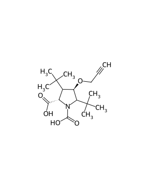 C#CCO[C@@H]1C(C(C)(C)C)[C@@H](C(=O)O)N(C(=O)O)C1C(C)(C)C